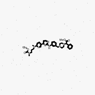 COC(=O)C(c1ccccc1)N1CCN(Cc2cccc(Nc3nccc(-c4ccc(N(C)CCCN(C)C(=O)OC(C)(C)C)nc4)n3)c2)CC1